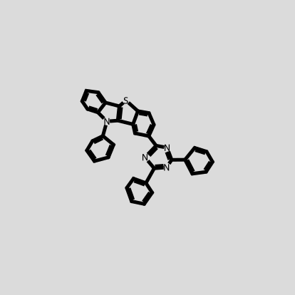 c1ccc(-c2nc(-c3ccccc3)nc(-c3ccc4sc5c6ccccc6n(-c6ccccc6)c5c4c3)n2)cc1